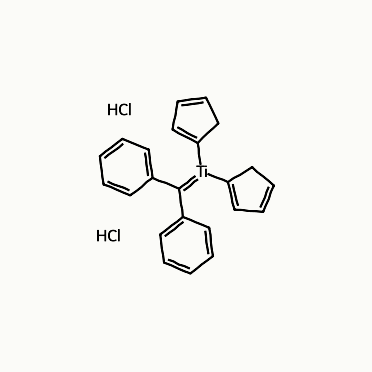 C1=CC[C]([Ti]([C]2=CC=CC2)=[C](c2ccccc2)c2ccccc2)=C1.Cl.Cl